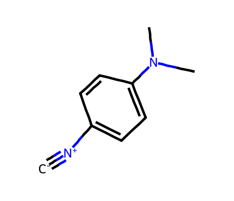 [C-]#[N+]c1ccc(N(C)C)cc1